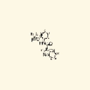 O=C(Nc1ccccc1OC(F)(F)F)c1cnn2cccnc12